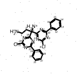 NCCC(N)(c1nc(Cl)nc(-c2ccccc2)n1)c1nc(Cl)nc(-c2ccccc2)n1